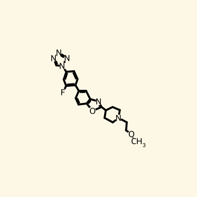 COCCN1CCC(c2nc3cc(-c4ccc(-n5cnnn5)cc4F)ccc3o2)CC1